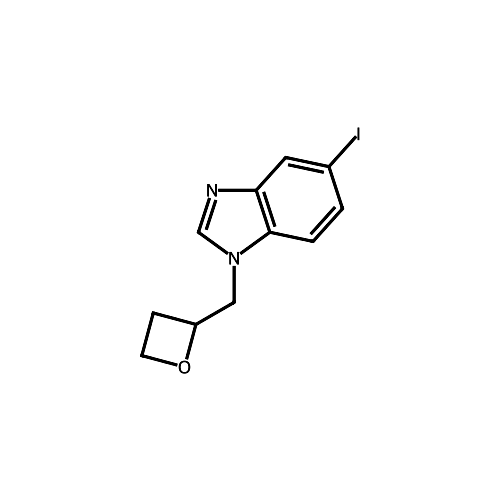 Ic1ccc2c(c1)ncn2CC1CCO1